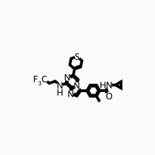 Cc1cc(-c2cnc3c(NCCC(F)(F)F)nc(C4=CCSCC4)cn23)ccc1C(=O)NC1CC1